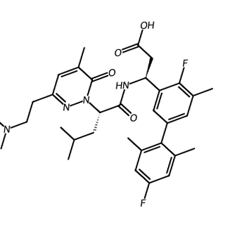 Cc1cc(-c2c(C)cc(F)cc2C)cc([C@H](CC(=O)O)NC(=O)[C@H](CC(C)C)n2nc(CCN(C)C)cc(C)c2=O)c1F